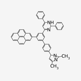 CC1=CC(c2ccc(-c3cc(C4=NC(c5ccccc5)NC(c5ccccc5)=C4)cc(-c4cc5ccc6cccc7ccc(c4)c5c67)c3)cc2)N2C(C)N12